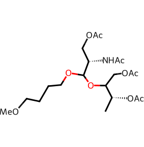 COCCCCOC(OC(COC(C)=O)[C@@H](C)OC(C)=O)[C@H](COC(C)=O)NC(C)=O